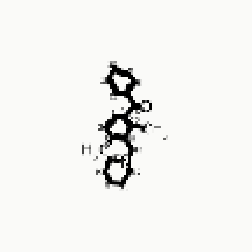 Cc1ccc(C(=O)c2ccccc2)c(C)c1CN1CCCCC1